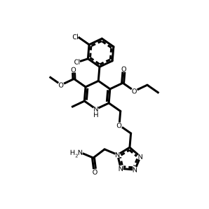 CCOC(=O)C1=C(COCc2nnnn2CC(N)=O)NC(C)=C(C(=O)OC)C1c1cccc(Cl)c1Cl